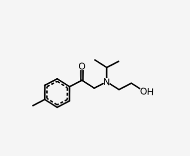 Cc1ccc(C(=O)CN(CCO)C(C)C)cc1